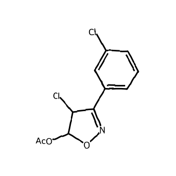 CC(=O)OC1ON=C(c2cccc(Cl)c2)C1Cl